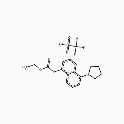 CCOC(=O)Oc1cccc2c([S+]3CCCC3)cccc12.O=S(=O)([O-])C(F)(F)F